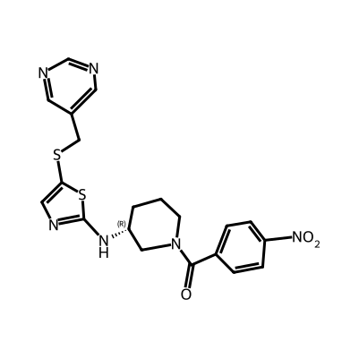 O=C(c1ccc([N+](=O)[O-])cc1)N1CCC[C@@H](Nc2ncc(SCc3cncnc3)s2)C1